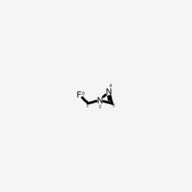 FCN1C=N1